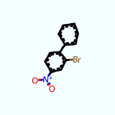 O=[N+]([O-])c1ccc(-c2ccccc2)c(Br)c1